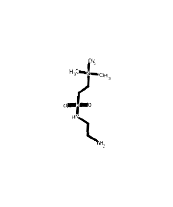 C[Si](C)(C)CCS(=O)(=O)NCCN